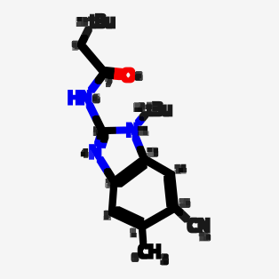 Cc1cc2nc(NC(=O)CC(C)(C)C)n(C(C)(C)C)c2cc1C#N